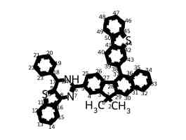 CC1(C)c2cc(C3=Nc4c(sc5ccccc45)C(c4ccccc4)N3)ccc2-c2c1cc1ccccc1c2-c1ccc2c(c1)sc1ccccc12